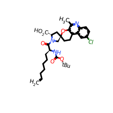 C=CCCCCC[C@H](NC(=O)OC(C)(C)C)C(=O)N1C[C@@]2(CCc3c(c(C)nc4ccc(Cl)cc34)O2)C[C@H]1C(=O)O